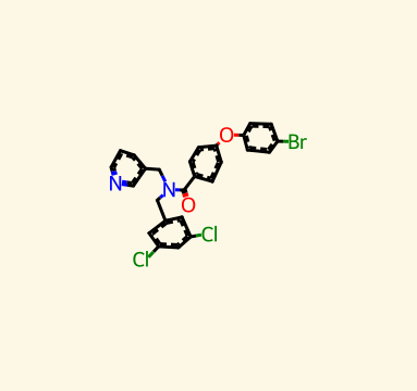 O=C(c1ccc(Oc2ccc(Br)cc2)cc1)N(Cc1cccnc1)Cc1cc(Cl)cc(Cl)c1